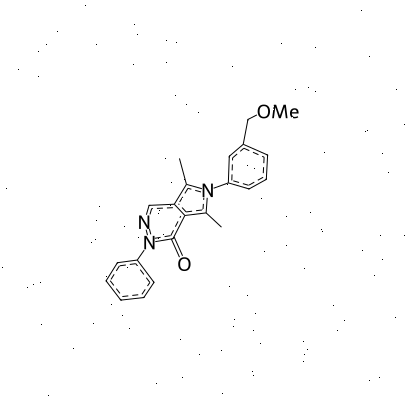 COCc1cccc(-n2c(C)c3cnn(-c4ccccc4)c(=O)c3c2C)c1